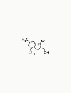 CC(=O)N1c2cc(C)cc(C)c2CC1CO